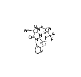 C[C@H](c1cnc(C(F)(F)F)s1)n1nc(C#N)c2c(=O)[nH]c([C@H]3CC[C@@H]3c3ncccn3)nc21